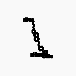 CCCCCCCCCCCCCCCOc1ccc2cc(CCc3ccc(C(=O)[C@@H](CCCCCC)OC)cc3)ccc2c1